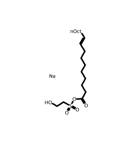 CCCCCCCCC=CCCCCCCCC(=O)OS(=O)(=O)CCO.[Na]